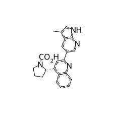 Cc1c[nH]c2ncc(-c3cc([C@@H]4CCCN4C(=O)O)c4ccccc4n3)cc12